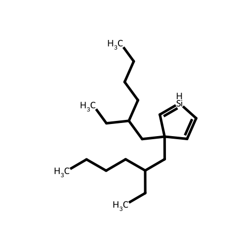 CCCCC(CC)CC1(CC(CC)CCCC)C=C[SiH]=C1